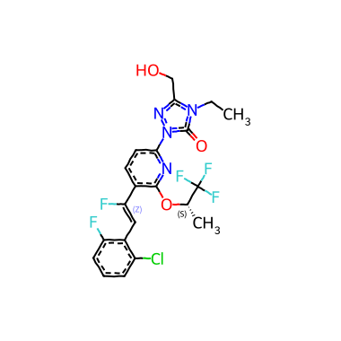 CCn1c(CO)nn(-c2ccc(/C(F)=C/c3c(F)cccc3Cl)c(O[C@@H](C)C(F)(F)F)n2)c1=O